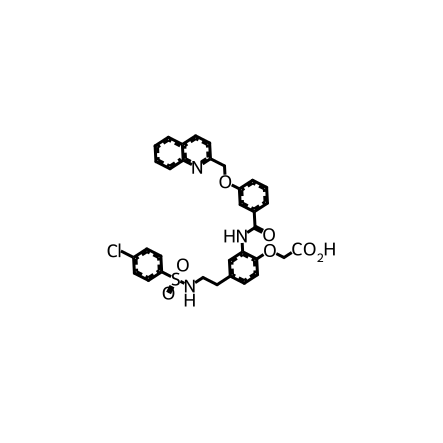 O=C(O)COc1ccc(CCNS(=O)(=O)c2ccc(Cl)cc2)cc1NC(=O)c1cccc(OCc2ccc3ccccc3n2)c1